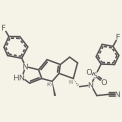 C[C@H]1C2=CNN(c3ccc(F)cc3)C2=CC2=C1[C@@H](CN(CC#N)S(=O)(=O)c1ccc(F)cc1)CC2